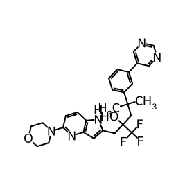 CC(C)(CC(O)(Cc1cc2nc(N3CCOCC3)ccc2[nH]1)C(F)(F)F)c1cccc(-c2cncnc2)c1